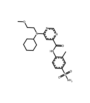 COCCN(c1cc(C(=O)Nc2ccc(S(N)(=O)=O)cc2C)ncn1)C1CCCCC1